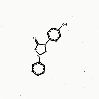 O=C1O[C@H](c2ccccc2)CN1c1ccc(O)cc1